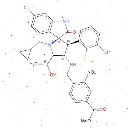 COC(=O)c1ccc(CN[C@@H]2C([C@@H](C)O)N(CC3CC3)[C@@]3(C(=O)Nc4cc(Cl)ccc43)[C@H]2c2cccc(Cl)c2F)c([N+](=O)[O-])c1